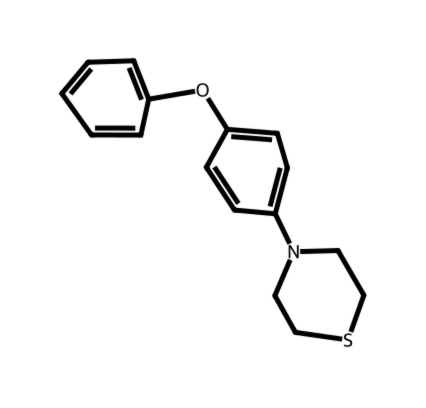 c1ccc(Oc2ccc(N3CCSCC3)cc2)cc1